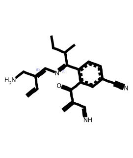 C=C/C(=C\N=C(\c1ccc(C#N)cc1C(=O)C(=C)C=N)C(C)CC)CN